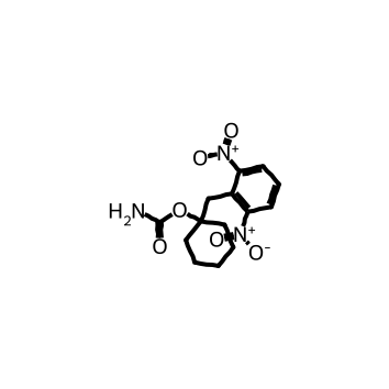 NC(=O)OC1(Cc2c([N+](=O)[O-])cccc2[N+](=O)[O-])CCCCC1